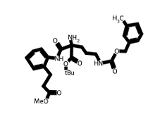 COC(=O)CCc1ccccc1NC(=O)C(N)(CCCNC(=O)OCc1cccc(C)c1)C(=O)OC(C)(C)C